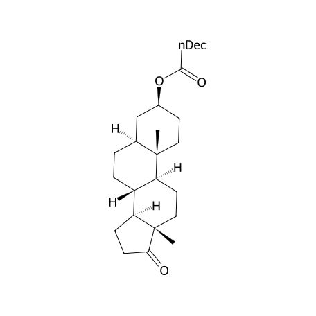 CCCCCCCCCCC(=O)O[C@H]1CC[C@@]2(C)[C@@H](CC[C@@H]3[C@@H]2CC[C@]2(C)C(=O)CC[C@@H]32)C1